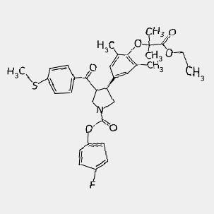 CCOC(=O)C(C)(C)Oc1c(C)cc([C@H]2CN(C(=O)Oc3ccc(F)cc3)CC2C(=O)c2ccc(SC)cc2)cc1C